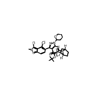 Cn1nc2ccc(-c3nn(C4CCCCO4)c4nc(N5[C@H]6CC[C@@H]5[C@](C)(NC(=O)OC(C)(C)C)C6)n(C)c(=O)c34)c(Cl)c2c1Cl